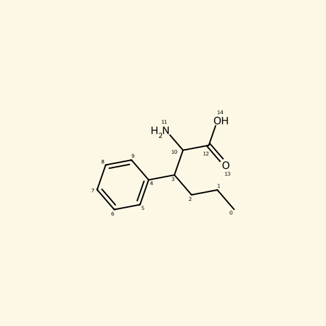 CCCC(c1ccccc1)C(N)C(=O)O